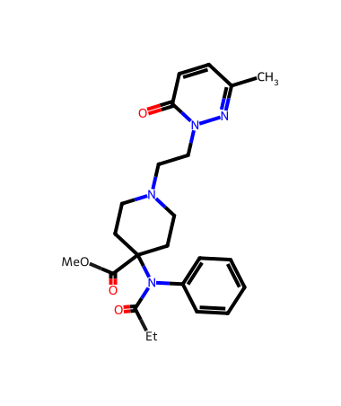 CCC(=O)N(c1ccccc1)C1(C(=O)OC)CCN(CCn2nc(C)ccc2=O)CC1